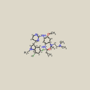 C=CC(=O)Nc1cc(Nc2nccc(-c3cn(C)c4c(F)cc(F)cc34)n2)c(OC)cc1N(C)CCN(C)C